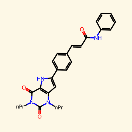 CCCn1c(=O)c2[nH]c(-c3ccc(C=CC(=O)Nc4ccccc4)cc3)cc2n(CCC)c1=O